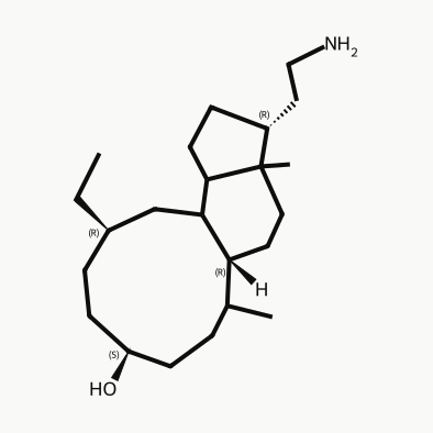 CC[C@@H]1CC[C@H](O)CCC(C)[C@H]2CCC3(C)C(CC[C@@H]3CCN)C2C1